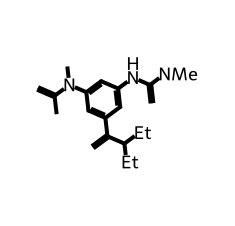 C=C(NC)Nc1cc(C(=C)C(CC)CC)cc(N(C)C(=C)C)c1